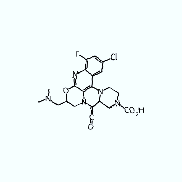 CN(C)CC1CN2C(=C=O)C3CN(C(=O)O)CCN3c3c2c(nc2c(F)cc(Cl)cc32)O1